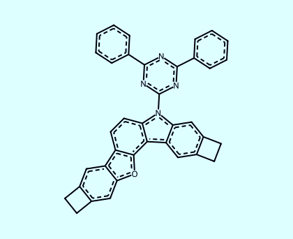 c1ccc(-c2nc(-c3ccccc3)nc(-n3c4cc5c(cc4c4c6oc7cc8c(cc7c6ccc43)CC8)CC5)n2)cc1